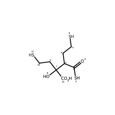 O=C(S)C(CCS)C(O)(CCS)C(=O)O